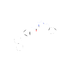 O=C(Nc1ccc(C2CCCC3(CCCCC3)C2)cc1)c1nnc(NC2=CCCC=C2)s1